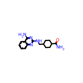 NC(=O)C1CCC(CNc2nc(N)c3ccccc3n2)CC1